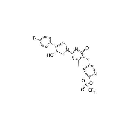 Cc1nc(N2CC=C(c3ccc(F)cc3)C(O)C2)nc(=O)n1Cc1ccc(OS(=O)(=O)C(F)(F)F)nc1